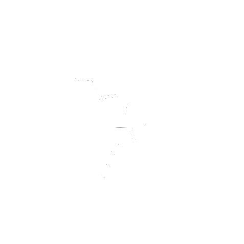 C=CC(=O)[O-].C=CC([NH-])=O.O=C([O-])/C=C\C(=O)[O-].[Na+].[Na+].[Na+].[Na+]